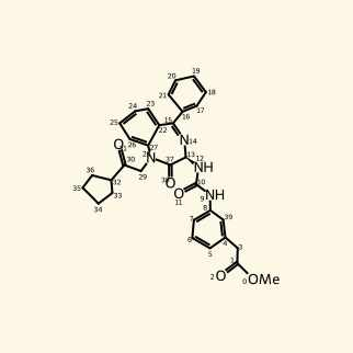 COC(=O)Cc1cccc(NC(=O)N[C@@H]2N=C(c3ccccc3)c3ccccc3N(CC(=O)C3CCCC3)C2=O)c1